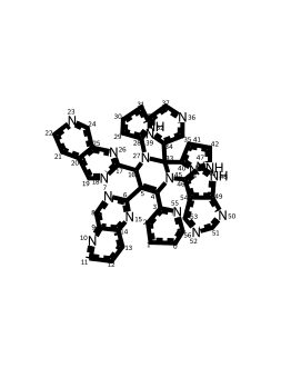 c1ccc(C2=C(c3ncc4ncccc4n3)C(c3ncc4ccncc4n3)N(c3ccc[nH]3)C(c3cnccn3)(c3cc[nH]n3)N2c2n[nH]c3ncncc23)nc1